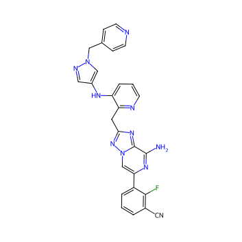 N#Cc1cccc(-c2cn3nc(Cc4ncccc4Nc4cnn(Cc5ccncc5)c4)nc3c(N)n2)c1F